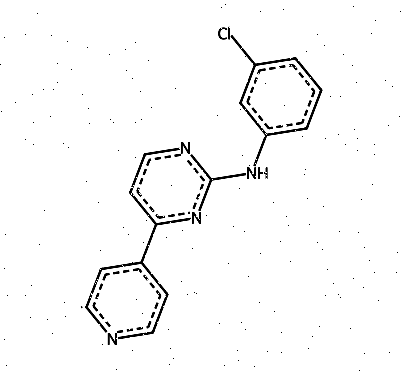 Clc1cccc(Nc2nccc(-c3c[c]ncc3)n2)c1